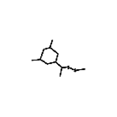 CSSC(C)C1CC(C)CC(C)C1